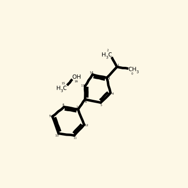 CC(C)c1ccc(-c2ccccc2)cc1.CO